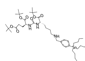 CCC[CH2][Sn]([CH2]CCC)([CH2]CCC)[c]1ccc(CNCCCC[C@H](NC(=O)N[C@@H](CCC(=O)OC(C)(C)C)C(=O)OC(C)(C)C)C(=O)OC(C)(C)C)cc1